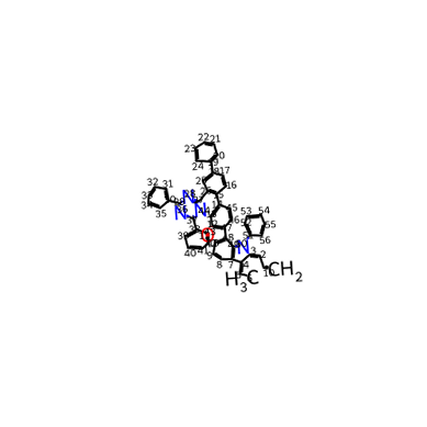 C=C/C=c1\c(=C/C)c2ccc3oc4cc(-c5ccc(-c6ccccc6)cc5-c5nc(-c6ccccc6)nc(-c6ccccc6)n5)ccc4c3c2n1-c1ccccc1